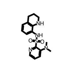 CN(C)c1cccnc1S(=O)(=O)Nc1cccc2c1NCCC2